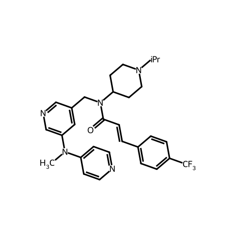 CC(C)N1CCC(N(Cc2cncc(N(C)c3ccncc3)c2)C(=O)C=Cc2ccc(C(F)(F)F)cc2)CC1